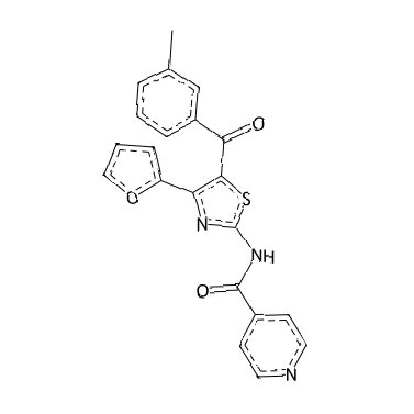 Cc1cccc(C(=O)c2sc(NC(=O)c3ccncc3)nc2-c2ccco2)c1